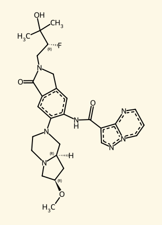 CO[C@@H]1C[C@@H]2CN(c3cc4c(cc3NC(=O)c3cnn5cccnc35)CN(C[C@@H](F)C(C)(C)O)C4=O)CCN2C1